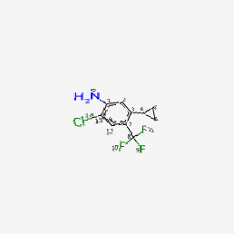 Nc1cc(C2CC2)c(C(F)(F)F)cc1Cl